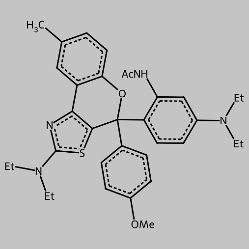 CCN(CC)c1ccc(C2(c3ccc(OC)cc3)Oc3ccc(C)cc3-c3nc(N(CC)CC)sc32)c(NC(C)=O)c1